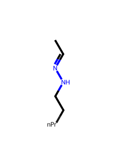 C/C=N/NCCCCC